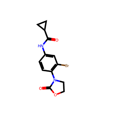 O=C(Nc1ccc(N2CCOC2=O)c(Br)c1)C1CC1